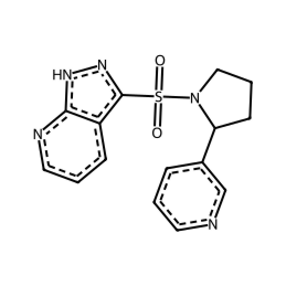 O=S(=O)(c1n[nH]c2ncccc12)N1CCCC1c1cccnc1